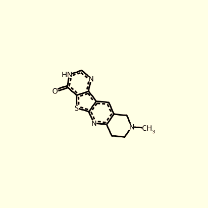 CN1CCc2nc3sc4c(=O)[nH]cnc4c3cc2C1